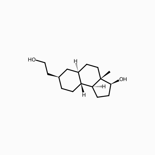 C[C@]12CC[C@@H]3C[C@H](CCO)CC[C@H]3[C@@H]1CC[C@@H]2O